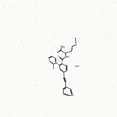 CSCCC(NC(=O)c1ccc(C#Cc2cncnc2)cc1-c1ccccc1C)C(=O)O.[LiH]